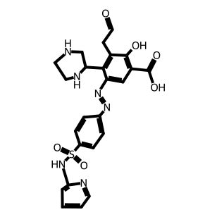 O=CCc1c(O)c(C(=O)O)cc(N=Nc2ccc(S(=O)(=O)Nc3ccccn3)cc2)c1C1CNCCN1